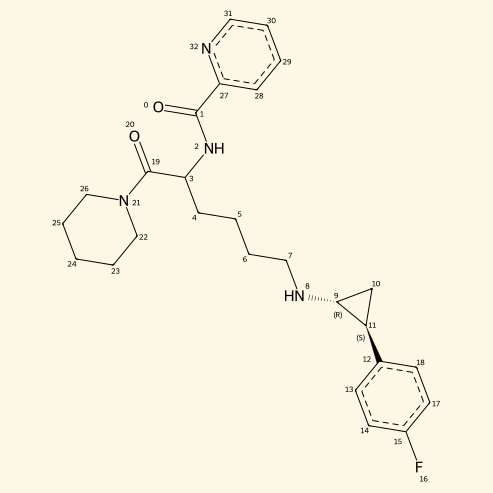 O=C(NC(CCCCN[C@@H]1C[C@H]1c1ccc(F)cc1)C(=O)N1CCCCC1)c1ccccn1